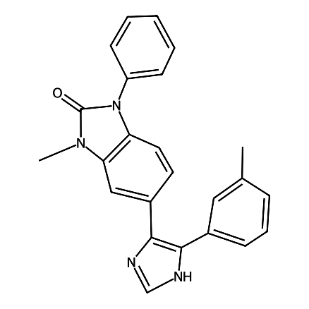 Cc1cccc(-c2[nH]cnc2-c2ccc3c(c2)n(C)c(=O)n3-c2ccccc2)c1